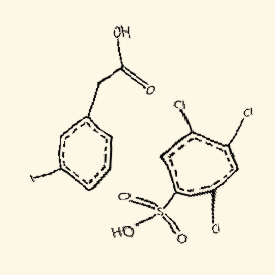 O=C(O)Cc1cccc(I)c1.O=S(=O)(O)c1cc(Cl)c(Cl)cc1Cl